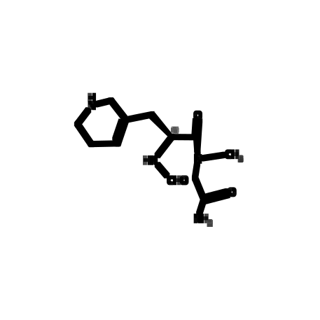 CN(CC(N)=O)C(=O)[C@H](CC1=CCCNC1)NC=O